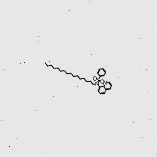 CCCCCCCCCCCCCCCCN(c1cccc2cccnc12)S(=O)(=O)c1ccccc1